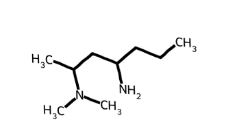 CCCC(N)CC(C)N(C)C